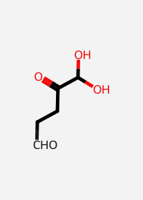 O=CCCC(=O)C(O)O